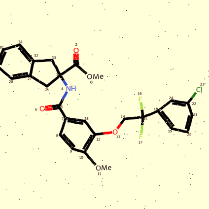 COC(=O)C1(NC(=O)c2ccc(OC)c(OCC(F)(F)c3cccc(Cl)c3)c2)Cc2ccccc2C1